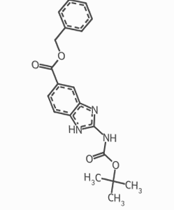 CC(C)(C)OC(=O)Nc1nc2cc(C(=O)OCc3ccccc3)ccc2[nH]1